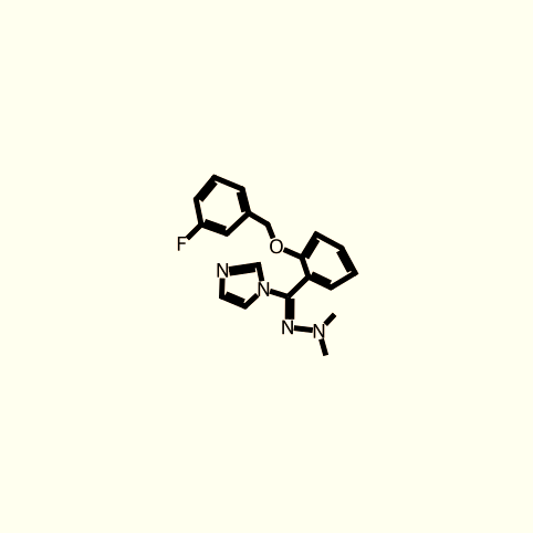 CN(C)/N=C(\c1ccccc1OCc1cccc(F)c1)n1ccnc1